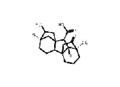 CC1C[C@]23C[C@H]1CCC2[C@]12CCC[C@](C)(C(=O)C1)[C@H]2[C@@H]3C(=O)O